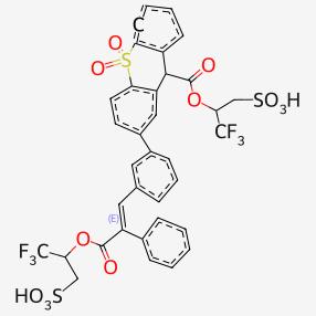 O=C(OC(CS(=O)(=O)O)C(F)(F)F)/C(=C/c1cccc(-c2ccc3c(c2)C(C(=O)OC(CS(=O)(=O)O)C(F)(F)F)c2ccccc2S3(=O)=O)c1)c1ccccc1